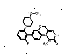 CBN1CCN(c2cccc(F)c2-c2ccc3c(c2)OCC2=NNC(=O)[C@@H](C)N23)CC1